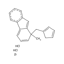 CC1(CC2=CC=CC2)C=CC=C2C1=Cc1ccccc12.Cl.Cl.[Zr]